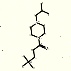 CC(C)CN1CCN(C(=O)CCC(C)(C)C)CC1